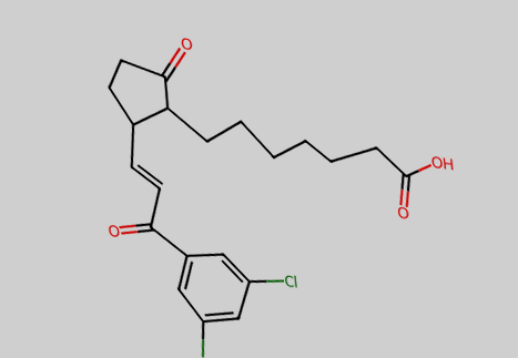 O=C(O)CCCCCCC1C(=O)CCC1/C=C/C(=O)c1cc(Cl)cc(Cl)c1